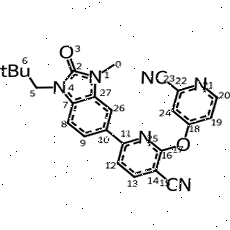 Cn1c(=O)n(CC(C)(C)C)c2ccc(-c3ccc(C#N)c(Oc4ccnc(C#N)c4)n3)cc21